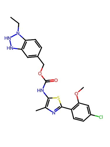 CCN1NNc2cc(COC(=O)Nc3sc(-c4ccc(Cl)cc4OC)nc3C)ccc21